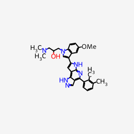 COc1ccc2c(c1)c(-c1cc3c(nc(-c4cccc(C)c4C)c4cn[nH]c43)[nH]1)cn2CC(O)CN(C)C